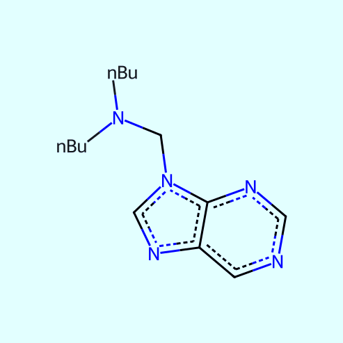 CCCCN(CCCC)Cn1cnc2cncnc21